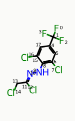 FC(F)(F)c1cc(Cl)c(NN=C(Cl)CCl)c(Cl)c1